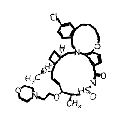 CO[C@H]1/C=C/[C@H](OCCN2CCOCC2)[C@H](C)C/[SH](=O)=N\C(=O)c2ccc3c(c2)N(Cc2ccc(Cl)cc2CCCCO3)C[C@@H]2CC[C@@H]21